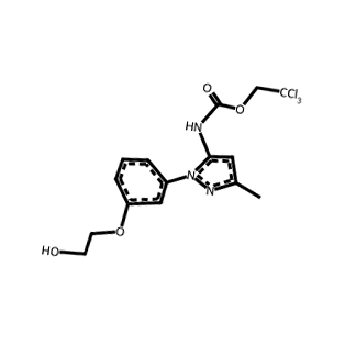 Cc1cc(NC(=O)OCC(Cl)(Cl)Cl)n(-c2cccc(OCCO)c2)n1